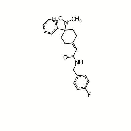 CN(C)C1(c2ccccc2)CCC(=CC(=O)NCc2ccc(F)cc2)CC1